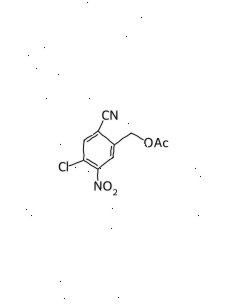 CC(=O)OCc1cc([N+](=O)[O-])c(Cl)cc1C#N